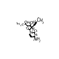 CC#C[C@@]1(F)C(O)[C@@H]([C@H](C)O)O[C@H]1n1ccc(N)nc1=O